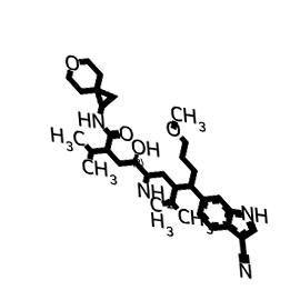 COCCCC(c1ccc2c(C#N)c[nH]c2c1)C(CC(N)[C@H](O)CC(C(=O)NC1CC12CCOCC2)C(C)C)C(C)C